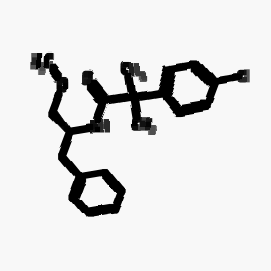 COC[C@H](Cc1ccccc1)NC(=O)C(C)(C)c1ccc(Cl)cc1